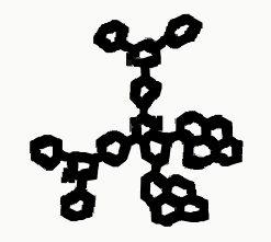 c1ccc(-c2cc(-c3ccccc3)nc(-c3ccc(-c4nc(-c5ccc(-c6cc(-c7ccccc7)nc(-c7ccccc7)c6)cc5)c5cc(-c6ccc7ccc8cccc9ccc6c7c89)cc(-c6ccc7ccc8cccc9ccc6c7c89)c5n4)cc3)c2)cc1